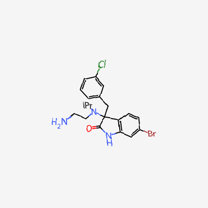 CC(C)N(CCN)C1(Cc2cccc(Cl)c2)C(=O)Nc2cc(Br)ccc21